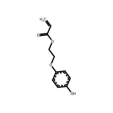 C=CC(=O)OCCOc1ccc(O)cc1